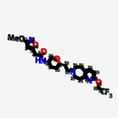 COc1cc(CC(=O)N[C@H]2CC[C@H](CCN3CCc4ccc(OCC(F)(F)F)nc4CC3)OC2)on1